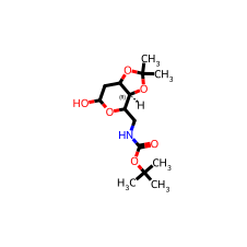 CC(C)(C)OC(=O)NCC1OC(O)CC2OC(C)(C)O[C@@H]12